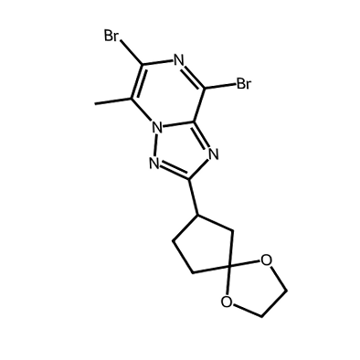 Cc1c(Br)nc(Br)c2nc(C3CCC4(C3)OCCO4)nn12